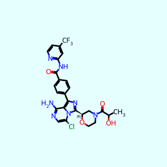 CC(O)C(=O)N1CCO[C@@H](c2nc(-c3ccc(C(=O)Nc4cc(C(F)(F)F)ccn4)cc3)c3c(N)ncc(Cl)n23)C1